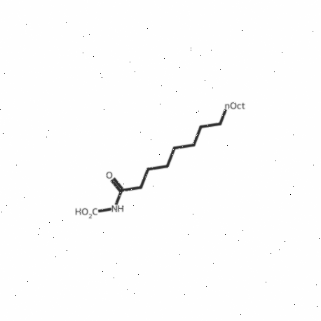 CCCCCCCCCCCCCCCC(=O)NC(=O)O